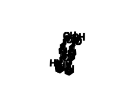 O=C(O)CCCN1CCN(C(=O)CCNc2ccccn2)CC1.O=C(O)CCCN1CCN(CCCNc2ccccn2)CC1